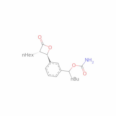 CCCCCC[C@@H]1C(=O)O[C@H]1c1cccc(C(CCCC)OC(N)=O)c1